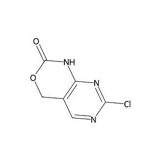 O=C1Nc2nc(Cl)ncc2CO1